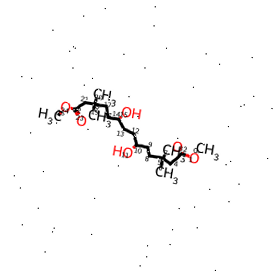 COC(=O)CC(C)(C)CCC(O)CCC(O)CCC(C)(C)CC(=O)OC